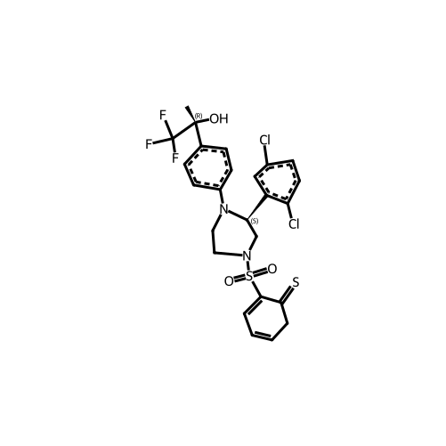 C[C@@](O)(c1ccc(N2CCN(S(=O)(=O)C3=CC=CCC3=S)C[C@@H]2c2cc(Cl)ccc2Cl)cc1)C(F)(F)F